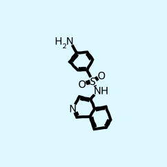 Nc1ccc(S(=O)(=O)Nc2cncc3ccccc23)cc1